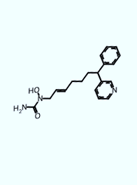 NC(=O)N(O)CC=CCCCC(c1ccccc1)c1cccnc1